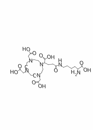 NC(CCCCNC(=O)CCC(C(=O)O)N1CCN(CC(=O)O)CCN(CC(=O)O)CCN(CC(=O)O)CC1)C(=O)O